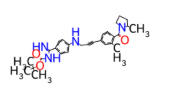 Cc1cc(C#CCNc2ccc(C(=N)NC(=O)OC(C)(C)C)cc2)ccc1C(=O)N1CCCC1C